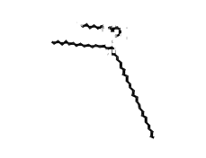 CCCCCCCCCCCCCCCCCCCCCCCCCC(=O)N[C@@H](COC1OC(CNC(=O)CCCCCN)C(O)C(O)C1O)C(O)[C@H](O)CCCCCCCCCCCCCC